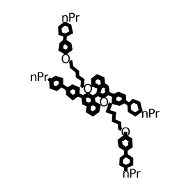 CCCc1ccc(-c2ccc(-c3cc4ccccc4c(-c4c(OCCCCCCOc5ccc(C6CCC(CCC)CC6)cc5)c(-c5ccc(C6CCC(CCC)CC6)cc5)cc5ccccc45)c3OCCCCCCOc3ccc(C4CCC(CCC)CC4)cc3)cc2)cc1